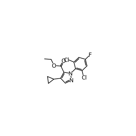 CCOC(=O)c1c(C2CC2)cnn1-c1c(Cl)cc(F)cc1Cl